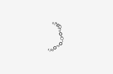 O=[N+]([O-])c1cn2c(n1)O[C@H](COc1ccc(N3CCC(Cc4ccc(OCc5ccc(OC(F)(F)F)cc5)cc4)CC3)cc1)CC2